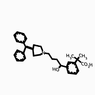 CC(C)(C(=O)O)c1cccc(C(O)CCCN2CCC(=C(c3ccccc3)c3ccccc3)CC2)c1